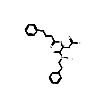 CC(=O)C[C@H](NC(=O)CCCc1ccccc1)C(=O)N(N)CCc1ccccc1